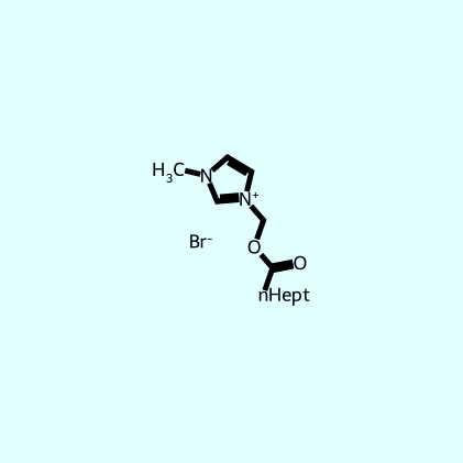 CCCCCCCC(=O)OC[n+]1ccn(C)c1.[Br-]